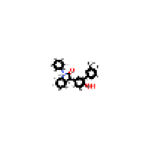 Cc1cccc(-c2cc(C3C(=O)N(c4ccccc4)c4ccccc43)ccc2O)c1